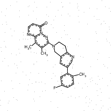 Cc1ccc(F)cc1-c1cnc2c(c1)CN(c1nn3c(=O)ccnc3c(C)c1C)CC2